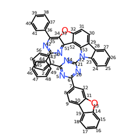 c1ccc(-c2nc(-c3ccc4c(c3)oc3ccccc34)nc(-n3c4ccccc4c4ccc5oc6c(-c7ccccc7)nc(-c7ccccc7)nc6c5c43)n2)cc1